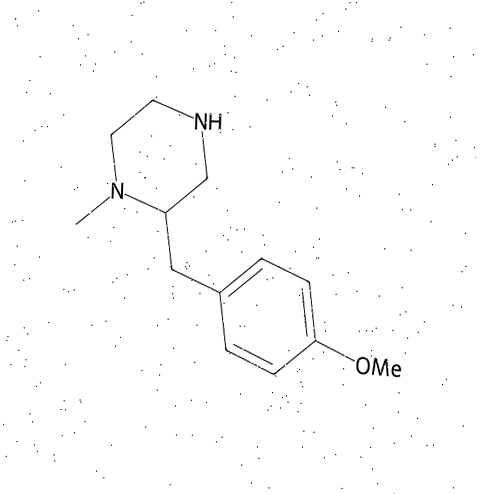 COc1ccc(CC2CNCCN2C)cc1